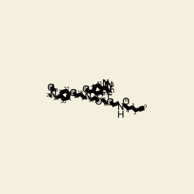 C#CCCCC(=O)NCCOCCOCCN(CCCOc1ccc(CN(C)C=O)cc1)C(=O)c1ccc(C2(C(F)(F)F)N=N2)cc1